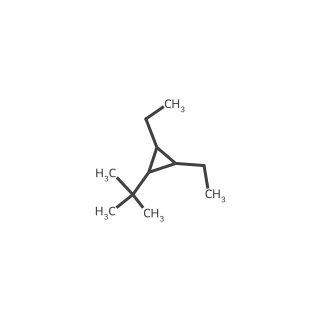 CCC1C(CC)C1C(C)(C)C